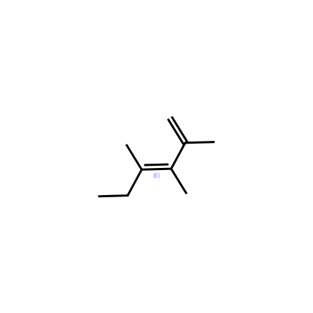 C=C(C)/C(C)=C(\C)CC